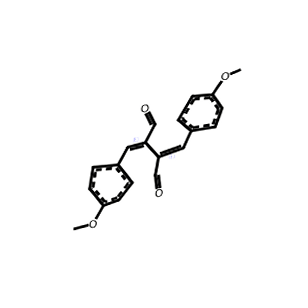 COc1ccc(/C=C(C=O)\C(C=O)=C/c2ccc(OC)cc2)cc1